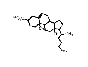 CC(C)CCCC(C)C1CCC2C3CC=C4CC(C(=O)O)CCC4(C)C3CCC12C